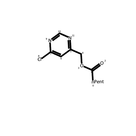 CCCCCC(=O)OCc1cc(Cl)ncn1